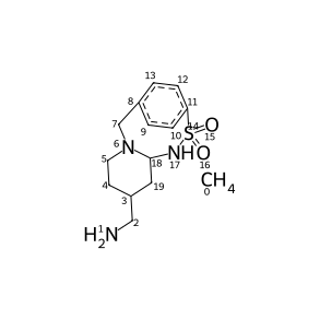 C.NCC1CCN2Cc3ccc(cc3)S(=O)(=O)NC2C1